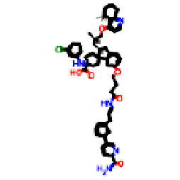 C[C@@H](COc1ccnc2c1[C@H](C)CCC2)C[C@H]1Cc2ccc(OCCCC(=O)NCCCc3cccc(-c4ccc(C(N)=O)nc4)c3)cc2C12CCC(Nc1cccc(Cl)c1)(C(=O)O)CC2